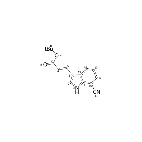 CC(C)(C)OC(=O)C=Cc1c[nH]c2c(C#N)cccc12